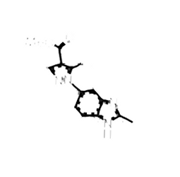 CCc1c(C(=O)OC)cnn1-c1ccc2[nH]c(C)nc2c1